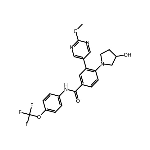 COc1ncc(-c2cc(C(=O)Nc3ccc(OC(F)(F)F)cc3)ccc2N2CCC(O)C2)cn1